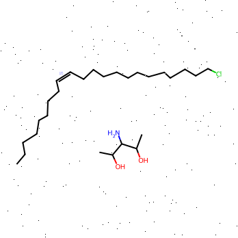 CC(O)C(N)C(C)O.CCCCCCCC/C=C\CCCCCCCCCCCCCl